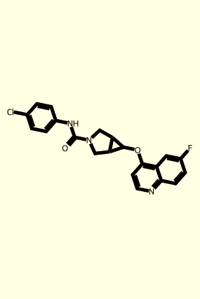 O=C(Nc1ccc(Cl)cc1)N1CC2C(C1)C2Oc1ccnc2ccc(F)cc12